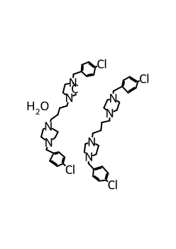 Clc1ccc(CN2CCN(CCCCN3CCN(Cc4ccc(Cl)cc4)CC3)CC2)cc1.Clc1ccc(CN2CCN(CCCCN3CCN(Cc4ccc(Cl)cc4)CC3)CC2)cc1.O